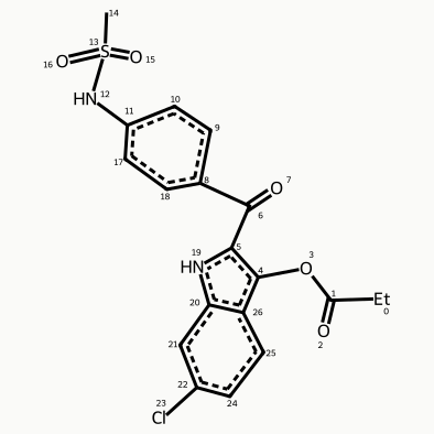 CCC(=O)Oc1c(C(=O)c2ccc(NS(C)(=O)=O)cc2)[nH]c2cc(Cl)ccc12